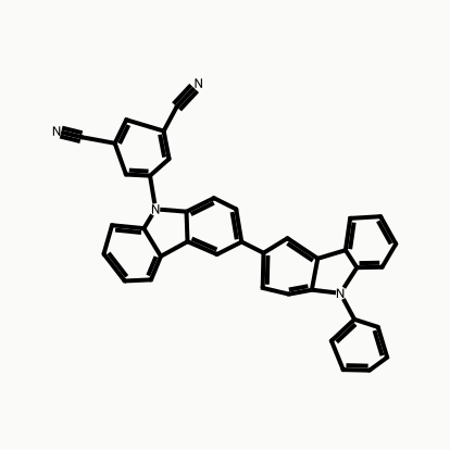 N#Cc1cc(C#N)cc(-n2c3ccccc3c3cc(-c4ccc5c(c4)c4ccccc4n5-c4ccccc4)ccc32)c1